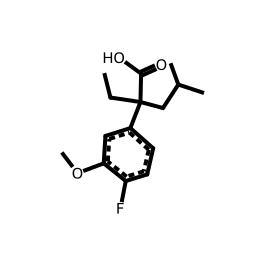 CCC(CC(C)C)(C(=O)O)c1ccc(F)c(OC)c1